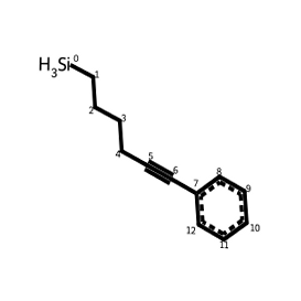 [SiH3]CCCCC#Cc1ccccc1